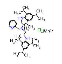 CC(C)c1cc(C(C)C)c(NCCN(CCNc2c(C(C)C)cc(C(C)C)cc2C(C)C)Cc2ccccn2)c(C(C)C)c1.[Cl-].[Cl-].[Mn+2]